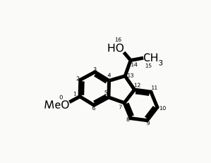 COc1ccc2c(c1)-c1ccccc1C2C(C)O